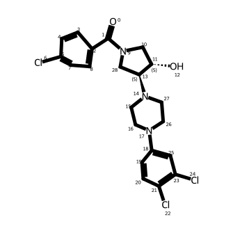 O=C(c1ccc(Cl)cc1)N1C[C@H](O)[C@@H](N2CCN(c3ccc(Cl)c(Cl)c3)CC2)C1